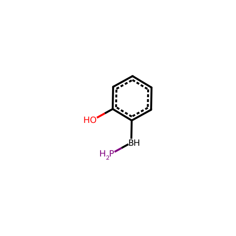 Oc1ccccc1BP